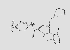 Cc1cccc(C)c1-c1c(C)c(C(=O)Nc2ccc(S(C)(=O)=O)cc2)cn1CCN1CCCCC1